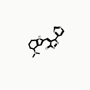 CN(C)C1CCCc2[nH]c(C=C3C(=O)N=NC3c3ccncn3)cc21